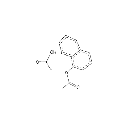 CC(=O)O.CC(=O)Oc1cccc2ccccc12